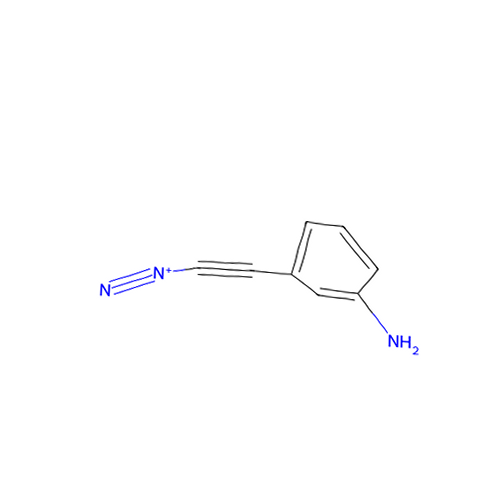 N#[N+]C#Cc1cccc(N)c1